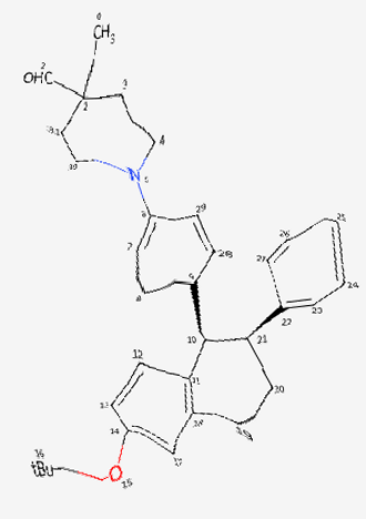 CC1(C=O)CCN(C2=CCC([C@@H]3c4ccc(OC(C)(C)C)cc4CC[C@@H]3c3ccccc3)C=C2)CC1